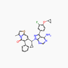 Cc1csc2cc(C(C3CC3)n3nc(-c4ccc(OC5CC5)c(F)c4)c4c(N)ncnc43)c(-c3ccccc3)c(=O)n12